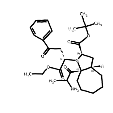 CCOC(=O)[C@H](CC(=O)c1ccccc1)N1[C@@H](C(=O)OC(C)(C)C)C[C@@H]2CCCCC[C@@]21C(=O)C(C)N